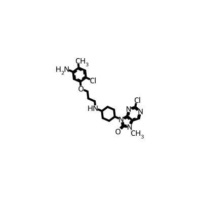 Cc1cc(Cl)c(OCCCNC2CCC(n3c(=O)n(C)c4cnc(Cl)nc43)CC2)cc1N